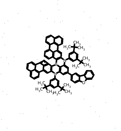 CC(C)(C)c1cc(N2c3cc(-c4ccc5oc6ccccc6c5c4)cc4c3B(c3c2cc2c5cccc6cccc(c7cccc3c72)c65)c2c(cc3c5cccc6cccc(c7cccc2c73)c65)N4c2cc(C(C)(C)C)cc(C(C)(C)C)c2)cc(C(C)(C)C)c1